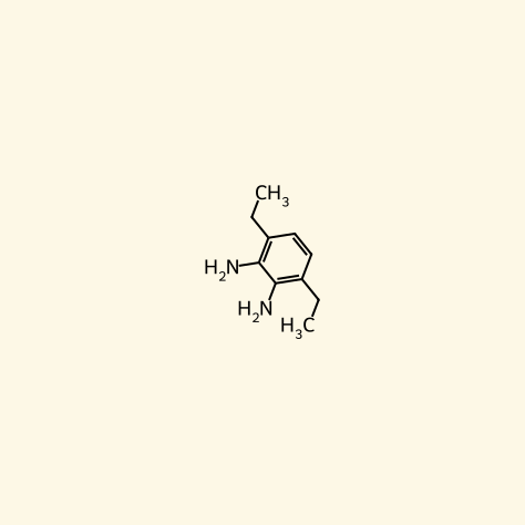 CCc1ccc(CC)c(N)c1N